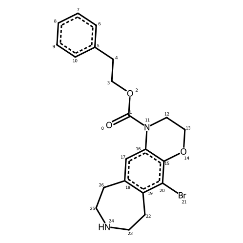 O=C(OCCc1ccccc1)N1CCOc2c1cc1c(c2Br)CCNCC1